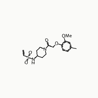 C=CS(=O)(=O)NC1CCN(C(=O)COc2ccc(C)cc2OC)CC1